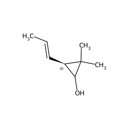 CC=C[C@@H]1C(O)C1(C)C